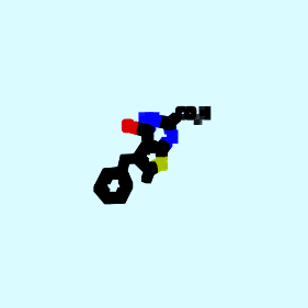 Cc1sc2nc(C(=O)O)[nH]c(=O)c2c1Cc1ccccc1